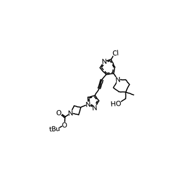 CC1(CO)CCN(c2cc(Cl)ncc2C#Cc2cnn(C3CN(C(=O)OC(C)(C)C)C3)c2)CC1